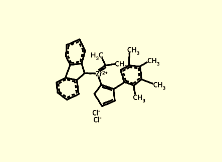 C[C](C)=[Zr+2]([C]1=C(c2cc(C)c(C)c(C)c2C)C=CC1)[CH]1c2ccccc2-c2ccccc21.[Cl-].[Cl-]